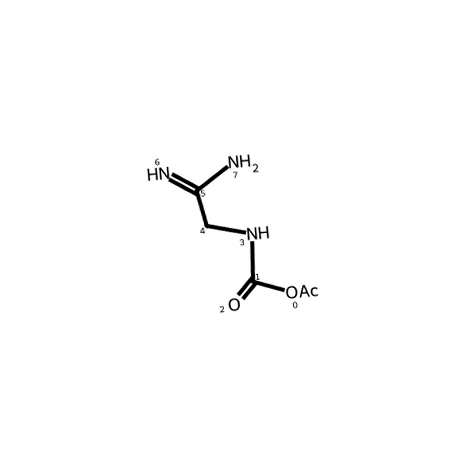 CC(=O)OC(=O)NCC(=N)N